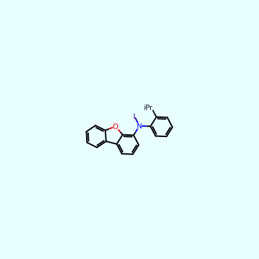 CC(C)c1ccccc1N(I)c1cccc2c1oc1ccccc12